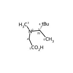 C[C@H](N(C)CC(=O)O)C(C)(C)C